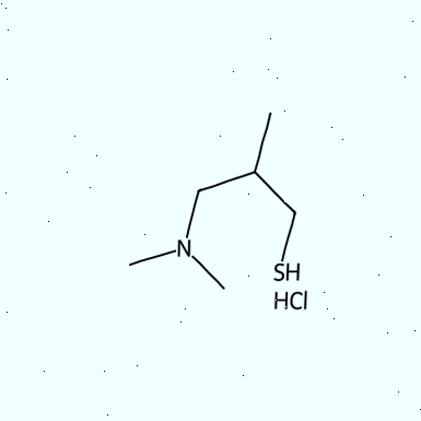 CC(CS)CN(C)C.Cl